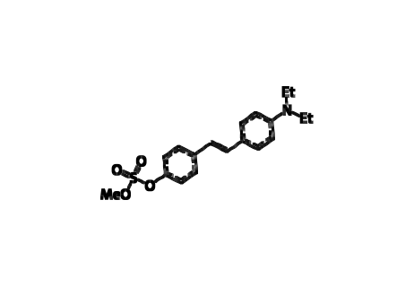 CCN(CC)c1ccc(C=Cc2ccc(OS(=O)(=O)OC)cc2)cc1